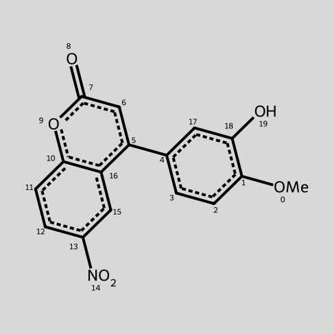 COc1ccc(-c2cc(=O)oc3ccc([N+](=O)[O-])cc23)cc1O